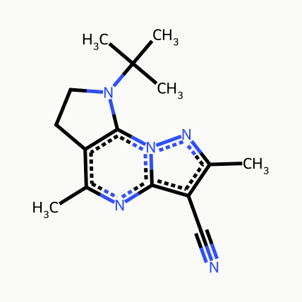 Cc1nc2c(C#N)c(C)nn2c2c1CCN2C(C)(C)C